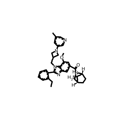 CCc1ccccc1-c1nc2cc(C(=O)N3C[C@H]4CC[C@@H]3[C@@H]4N)cc(OC)c2n1CC1CN(c2cncc(C)c2)C1